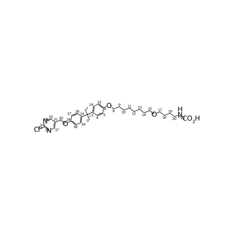 CC(C)(c1ccc(OCCCCCCCCOCCCCNC(=O)O)cc1)c1ccc(OCc2cnc(Cl)nc2)cc1